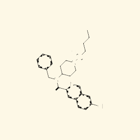 CCCCS(=O)(=O)N1CCC(N(Cc2ccccc2)C(=O)c2cc3ccc(Cl)cc3cn2)CC1